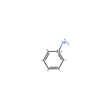 N[As]1=CC=CC=C1